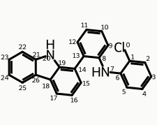 Clc1ccccc1Nc1ccccc1-c1cccc2c1[nH]c1ccccc12